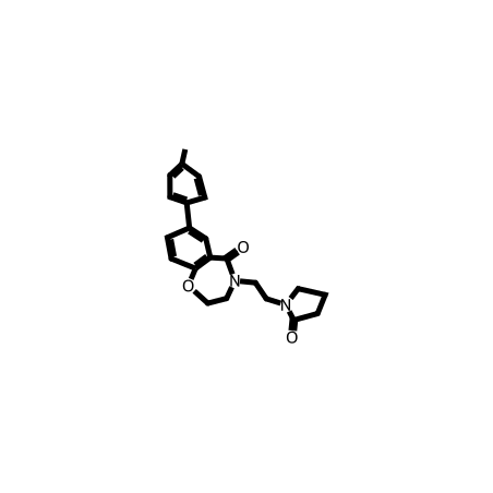 Cc1ccc(-c2ccc3c(c2)C(=O)N(CCN2CCCC2=O)CCO3)cc1